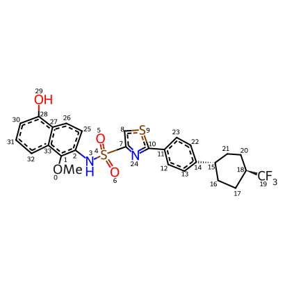 COc1c(NS(=O)(=O)c2csc(-c3ccc([C@H]4CC[C@H](C(F)(F)F)CC4)cc3)n2)ccc2c(O)cccc12